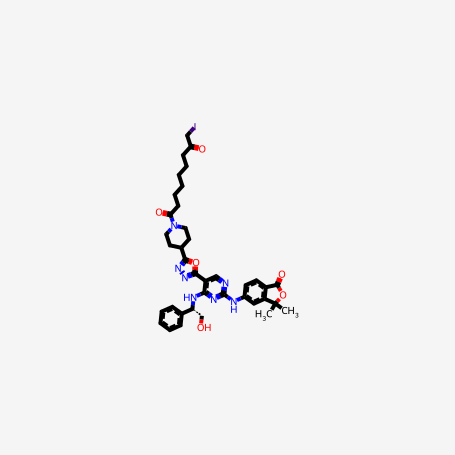 CC1(C)OC(=O)c2ccc(Nc3ncc(-c4nnc(C5CCN(C(=O)CCCCCCC(=O)CI)CC5)o4)c(N[C@H](CO)c4ccccc4)n3)cc21